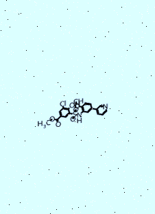 COC(=O)c1cc(Cl)c(O)c(S(=O)(=O)Nc2cc(-c3cccnc3)ccc2OC)c1